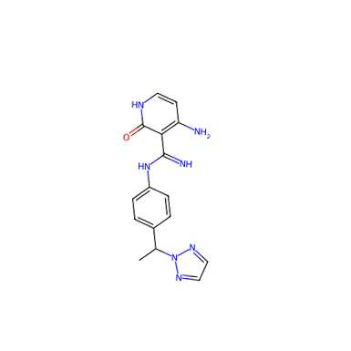 CC(c1ccc(NC(=N)c2c(N)cc[nH]c2=O)cc1)n1nccn1